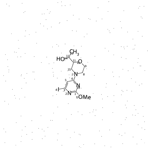 COc1nc(I)cc(N2CCOC(C(C)O)C2)n1